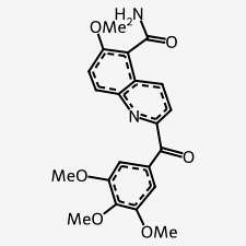 COc1cc(C(=O)c2ccc3c(C(N)=O)c(OC)ccc3n2)cc(OC)c1OC